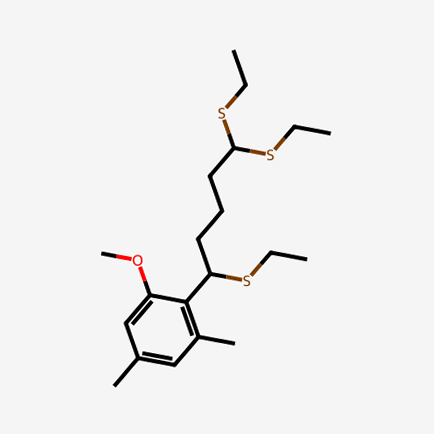 CCSC(CCCC(SCC)c1c(C)cc(C)cc1OC)SCC